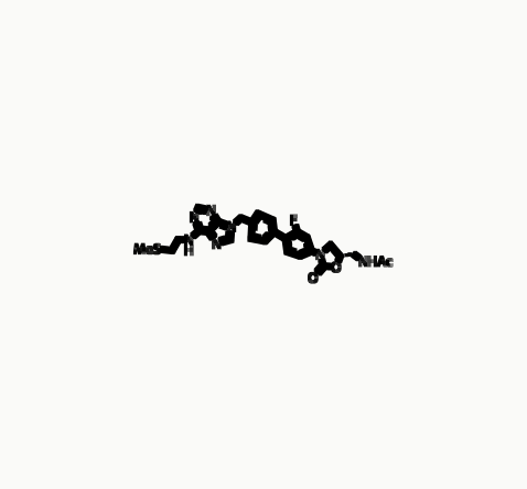 CSCCNc1ncnc2c1ncn2Cc1ccc(-c2ccc(N3C[C@H](CNC(C)=O)OC3=O)cc2F)cc1